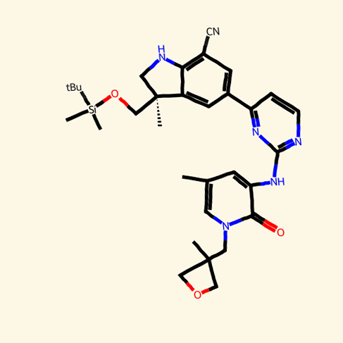 Cc1cc(Nc2nccc(-c3cc(C#N)c4c(c3)[C@@](C)(CO[Si](C)(C)C(C)(C)C)CN4)n2)c(=O)n(CC2(C)COC2)c1